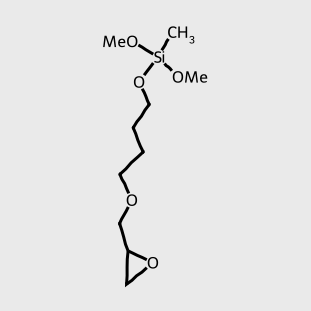 CO[Si](C)(OC)OCCCCOCC1CO1